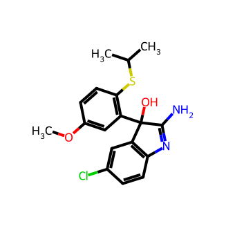 COc1ccc(SC(C)C)c(C2(O)C(N)=Nc3ccc(Cl)cc32)c1